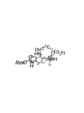 CCOC(=O)C1CCCCC(=O)Nc2cc(NC(=O)OC)ccc2-c2nc1[nH]c2C